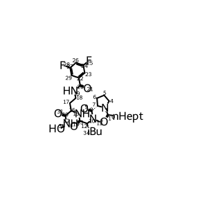 CCCCCCCC(=O)N1CCC[C@H]1C(=O)N(C)C(C(=O)NC(CCNC(=O)c1cc(F)cc(F)c1)C(=O)NO)C(C)CC